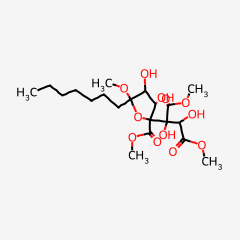 CCCCCCCC1(OC)OC(C(=O)OC)(C(O)(C(=O)OC)C(O)C(=O)OC)C(O)C1O